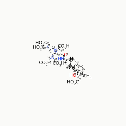 CC(CCC(=O)O)[C@H]1CCC2C3CC[C@@H]4C[C@@H](NC(=O)CCC(C(=O)O)N(CCN(CC(=O)O)CC(=O)O)CCN(CC(=O)O)CC(=O)O)CC[C@]4(C)C3C[C@H](O)[C@@]21C